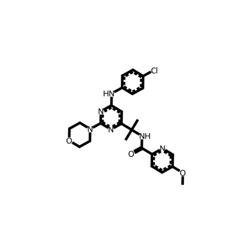 COc1ccc(C(=O)NC(C)(C)c2cc(Nc3ccc(Cl)cc3)nc(N3CCOCC3)n2)nc1